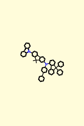 CC1(C)c2cc(N(c3ccc(-c4ccccc4)cc3)c3cccc4c3-c3ccccc3C4(c3ccccc3)c3ccccc3)ccc2-c2ccc(-n3c4ccccc4c4ccccc43)cc21